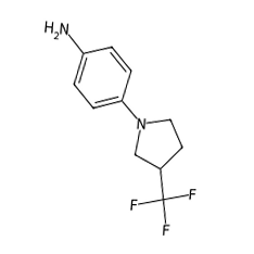 Nc1ccc(N2CCC(C(F)(F)F)C2)cc1